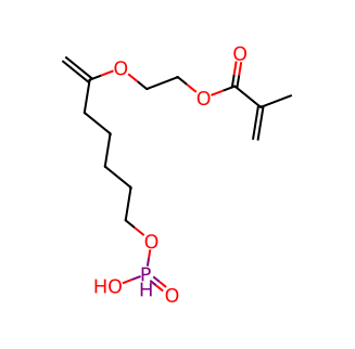 C=C(CCCCCO[PH](=O)O)OCCOC(=O)C(=C)C